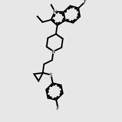 CCc1c(C2CCN(CCC3(Sc4ccc(F)cc4)CC3)CC2)c2ccc(F)cc2n1C